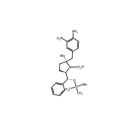 CC(C)(C)[C@@]1(Cc2ccc(N)c([N+](=O)[O-])c2)CC[C@H]([C@H](O[Si](C)(C)C(C)(C)C)c2ccccc2)N1C(=O)O